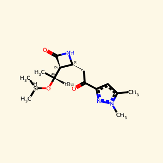 Cc1cc(C(=O)C[C@H]2NC(=O)[C@@H]2[C@@](C)(O[SiH](C)C)C(C)(C)C)nn1C